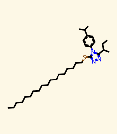 CCCCCCCCCCCCCCCCCCSc1nnc(C(C)CC)n1-c1ccc(C(C)C)cc1